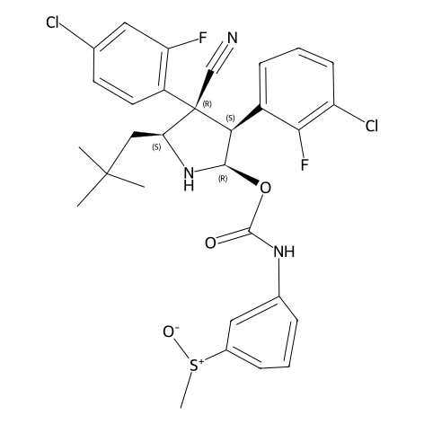 C[S+]([O-])c1cccc(NC(=O)O[C@H]2N[C@@H](CC(C)(C)C)[C@](C#N)(c3ccc(Cl)cc3F)[C@H]2c2cccc(Cl)c2F)c1